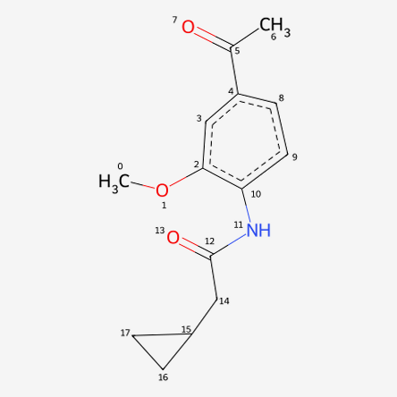 COc1cc(C(C)=O)ccc1NC(=O)CC1CC1